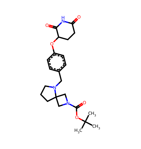 CC(C)(C)OC(=O)N1CC2(CCCN2Cc2ccc(OC3CCC(=O)NC3=O)cc2)C1